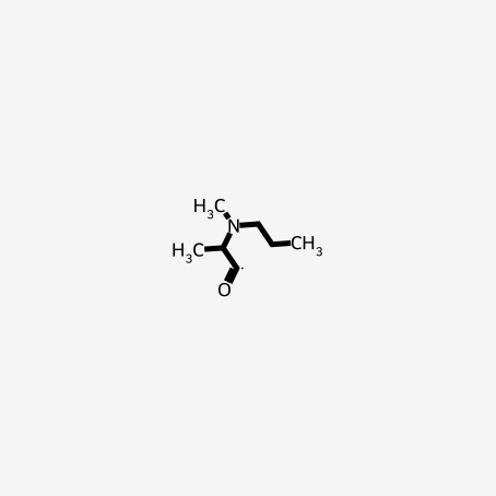 CCCN(C)C(C)[C]=O